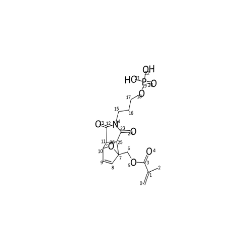 C=C(C)C(=O)OCC12C=CC(=C3C(=O)N(CCCOP(=O)(O)O)C(=O)C31)O2